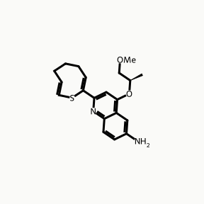 COC[C@@H](C)Oc1cc(/C2=C/CCC/C=C/S2)nc2ccc(N)cc12